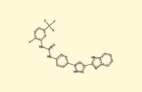 O=C(Nc1ccc(-c2cc(-c3nc4ccccc4[nH]3)n[nH]2)cc1)Nc1cc(C(F)(F)F)ccc1F